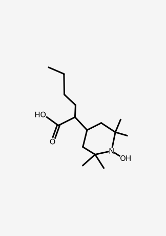 CCCCC(C(=O)O)C1CC(C)(C)N(O)C(C)(C)C1